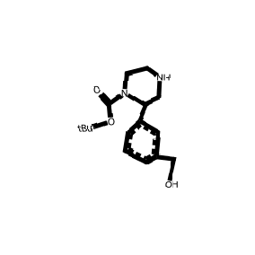 CC(C)(C)OC(=O)N1CCNCC1c1cccc(CO)c1